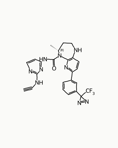 C#CNc1nccc(NC(=O)N2c3nc(-c4cccc(C5(C(F)(F)F)N=N5)c4)ccc3NCC[C@H]2C)n1